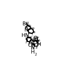 Cc1ccc(N[C@H]2CCCc3cc(Br)cnc32)cc1[C@@]1(C(C)C)N=C(N)O[C@@H]2C[C@@H]21